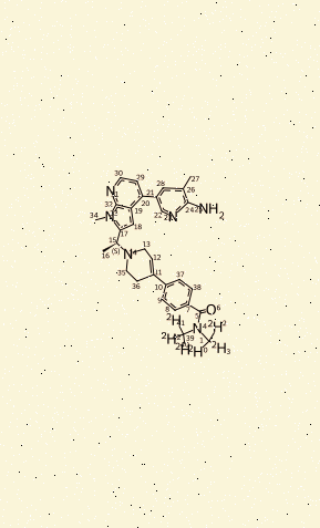 [2H]C([2H])([2H])N(C(=O)c1ccc(C2=CCN([C@@H](C)c3cc4c(-c5cnc(N)c(C)c5)ccnc4n3C)CC2)cc1)C([2H])([2H])[2H]